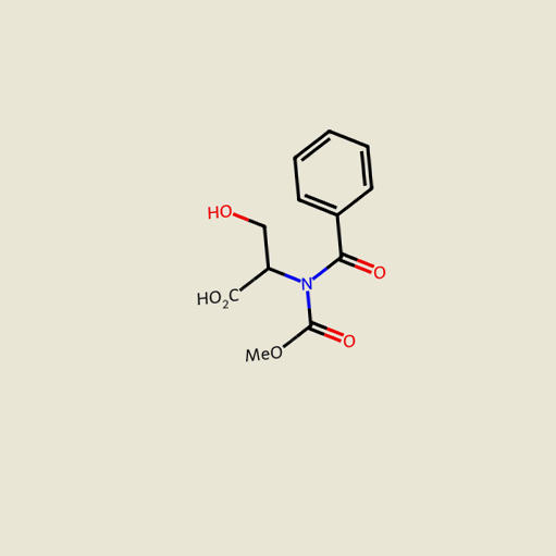 COC(=O)N(C(=O)c1ccccc1)C(CO)C(=O)O